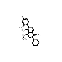 C=C1C2=CCC(C3CC=C(F)C=C3C)C(C)=C2C(NC)CC1C1CC=CCC1